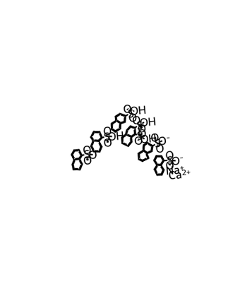 O=S(=O)(O)c1ccc2ccccc2c1.O=S(=O)(O)c1ccc2ccccc2c1S(=O)(=O)O.O=S(=O)(O)c1cccc2ccccc12.O=S(=O)([O-])c1ccc2ccccc2c1.O=S(=O)([O-])c1cccc2ccccc12.O=S(=O)([O-])c1cccc2ccccc12.[Ca+2].[Na+]